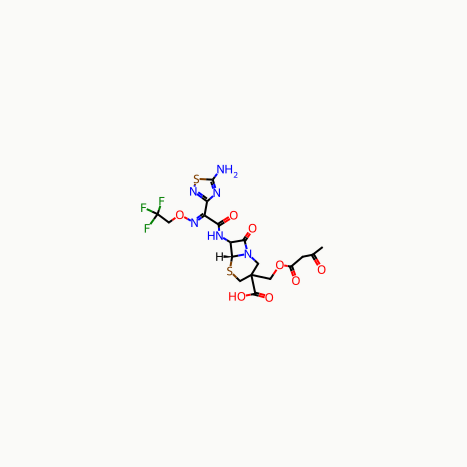 CC(=O)CC(=O)OCC1(C(=O)O)CS[C@@H]2C(NC(=O)C(=NOCC(F)(F)F)c3nsc(N)n3)C(=O)N2C1